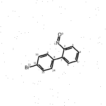 O=Nc1ccccc1-c1ccc(Br)cc1